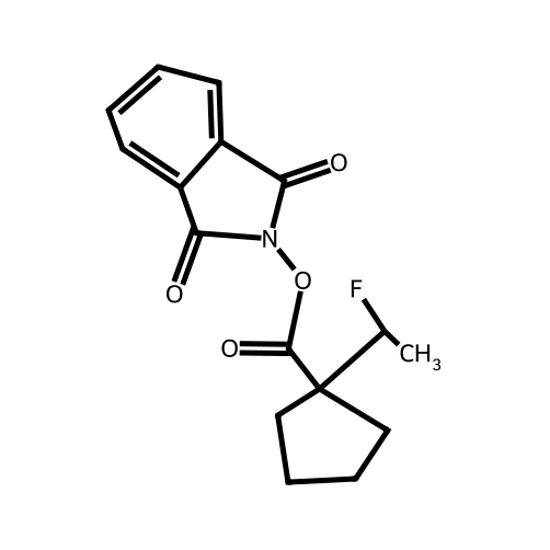 CC(F)C1(C(=O)ON2C(=O)c3ccccc3C2=O)CCCC1